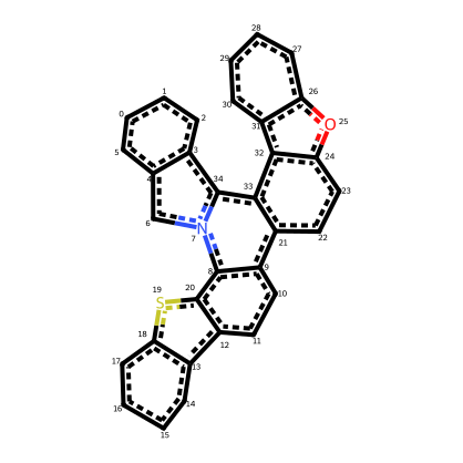 c1ccc2c(c1)cn1c3c(ccc4c5ccccc5sc43)c3ccc4oc5ccccc5c4c3c21